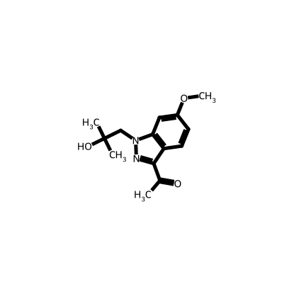 COc1ccc2c(C(C)=O)nn(CC(C)(C)O)c2c1